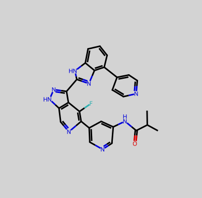 CC(C)C(=O)Nc1cncc(-c2ncc3[nH]nc(-c4nc5c(-c6ccncc6)cccc5[nH]4)c3c2F)c1